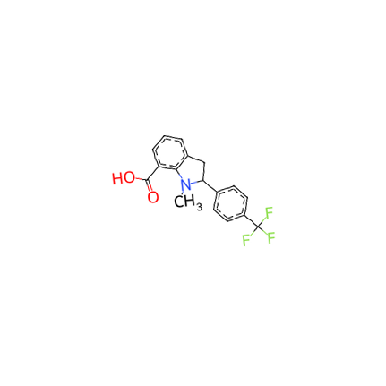 CN1c2c(cccc2C(=O)O)CC1c1ccc(C(F)(F)F)cc1